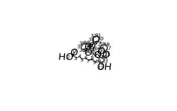 O=C(O)CCCCC=CCC1C(O)CC(OC2CCCCO2)C1OCC(COc1ccccc1)OC1CCCCO1